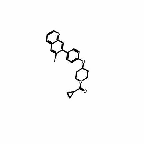 O=C(C1CC1)N1CCC(Oc2ccc(-c3cc4ncccc4cc3F)cc2)CC1